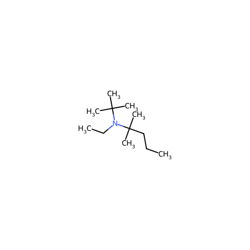 CCCC(C)(C)N(CC)C(C)(C)C